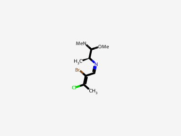 CNC(OC)[C@H](C)/N=C\C(Br)=C(/C)Cl